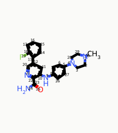 CN1CCN(c2ccc(Nc3cc(-c4ccccc4F)cnc3C(N)=O)cc2)CC1